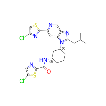 CC(C)Cc1nc2cnc(-c3nc(Cl)cs3)cc2n1[C@@H]1CCC[C@H](NC(=O)c2ncc(Cl)s2)C1